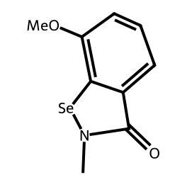 COc1cccc2c(=O)n(C)[se]c12